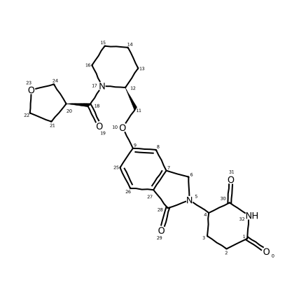 O=C1CCC(N2Cc3cc(OC[C@@H]4CCCCN4C(=O)[C@H]4CCOC4)ccc3C2=O)C(=O)N1